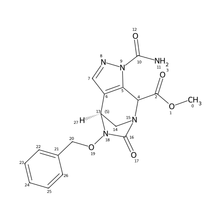 COC(=O)C1c2c(cnn2C(N)=O)[C@H]2CN1C(=O)N2OCc1ccccc1